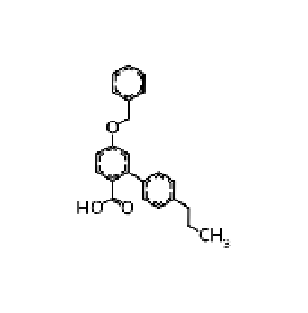 CCCc1ccc(-c2cc(OCc3ccccc3)ccc2C(=O)O)cc1